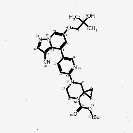 CC(C)(O)COc1cc(-c2ccc(N3CCN(C(=O)OC(C)(C)C)C4(CC4)C3)nc2)c2c(C#N)cnn2c1